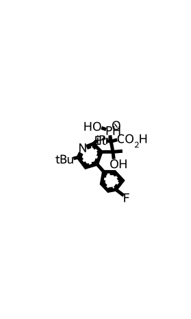 CCC(C(=O)O)([PH](=O)O)C(C)(O)c1c(-c2ccc(F)cc2)cc(C(C)(C)C)nc1C(C)C